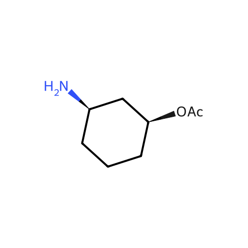 CC(=O)O[C@H]1CCC[C@@H](N)C1